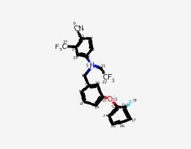 N#Cc1ccc(N(Cc2cccc(Oc3ccccc3F)c2)CC(F)(F)F)cc1C(F)(F)F